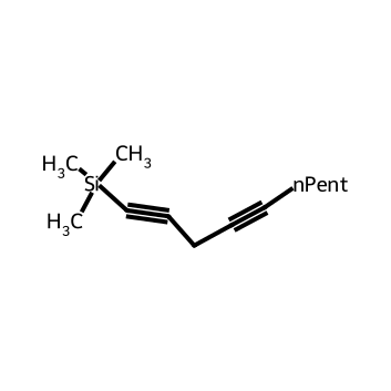 CCCCCC#CCC#C[Si](C)(C)C